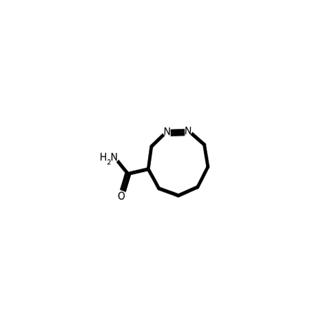 NC(=O)C1CCCCCN=NC1